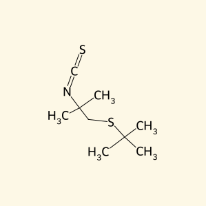 CC(C)(CSC(C)(C)C)N=C=S